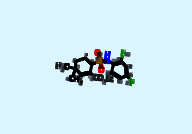 CCOC(=O)C1=CC(C)(C)CCC1S(=O)(=O)Nc1ccc(F)cc1F